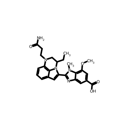 CCC1CN(CCC(N)=O)c2cccc3cc(-c4nc5cc(C(=O)O)cc(OC)c5n4C)n1c23